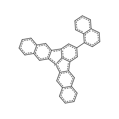 c1ccc2cc3c(cc2c1)c1cc(-c2cccc4ccccc24)cc2c4cc5ccccc5cc4n3c12